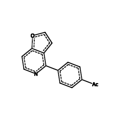 CC(=O)c1ccc(-c2nccc3occc23)cc1